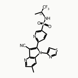 Cc1cnc2c(C#N)c(-c3ccc(S(=O)(=O)N[C@@H](C)C(F)(F)F)cn3)n(-c3cscn3)c2c1